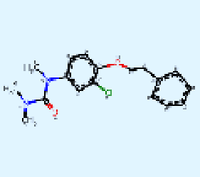 CN(C)C(=O)N(C)c1ccc(OCCc2ccccc2)c(Cl)c1